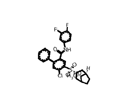 C[C@@]1(O)C2CC[C@@H]1C[C@@H](S(=O)(=O)c1cc(C(=O)Nc3ccc(F)c(F)c3)c(-c3ccccc3)cc1Cl)C2